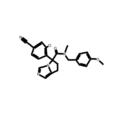 COc1ccc(CN(C)C(=O)C2(c3ccc(C#N)cc3Cl)CCc3cncn32)cc1